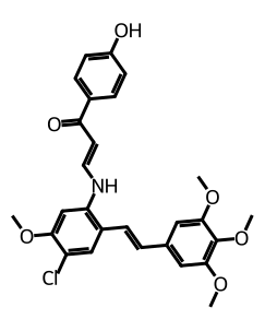 COc1cc(NC=CC(=O)c2ccc(O)cc2)c(C=Cc2cc(OC)c(OC)c(OC)c2)cc1Cl